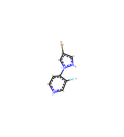 Fc1cnccc1-n1cc(Br)cn1